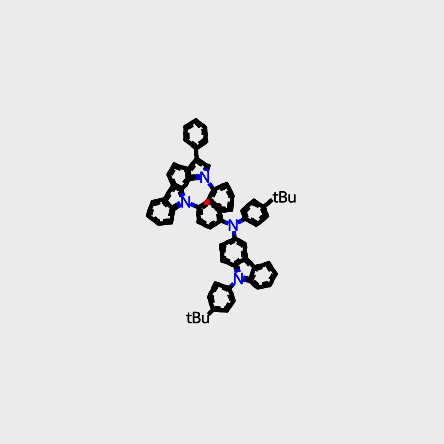 CC(C)(C)c1ccc(N(c2ccc(-n3c4ccccc4c4ccc5c(-c6ccccc6)cn(-c6ccccc6)c5c43)cc2)c2ccc3c(c2)c2ccccc2n3-c2ccc(C(C)(C)C)cc2)cc1